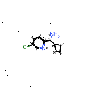 N[C@H](c1ccc(Cl)cn1)C1CCC1